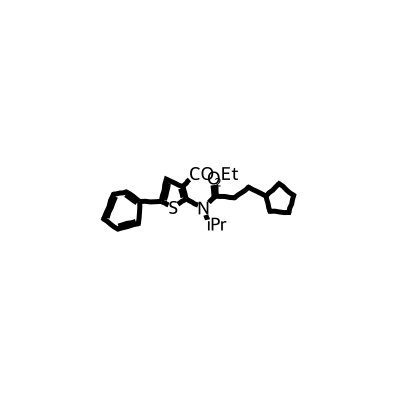 CCOC(=O)c1cc(-c2ccccc2)sc1N(C(=O)CCC1CCCC1)C(C)C